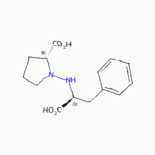 O=C(O)[C@H](Cc1ccccc1)NN1CCC[C@@H]1C(=O)O